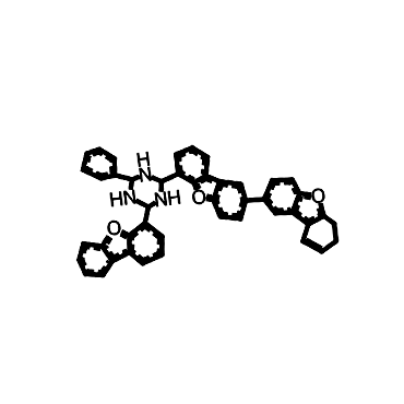 C1=Cc2c(oc3ccc(-c4ccc5oc6c(C7NC(c8ccccc8)NC(c8cccc9c8oc8ccccc89)N7)cccc6c5c4)cc23)CC1